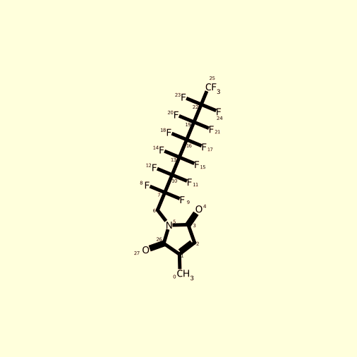 CC1=CC(=O)N(CC(F)(F)C(F)(F)C(F)(F)C(F)(F)C(F)(F)C(F)(F)C(F)(F)F)C1=O